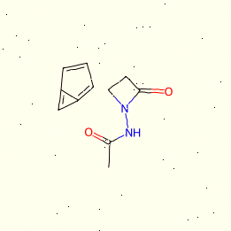 CC(=O)NN1CCC1=O.c1cc2cc-2c1